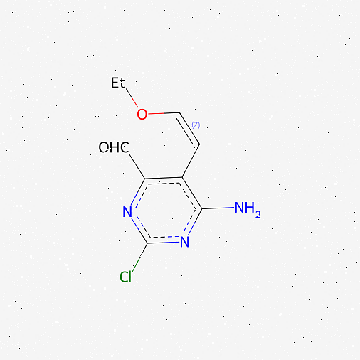 CCO/C=C\c1c(N)nc(Cl)nc1C=O